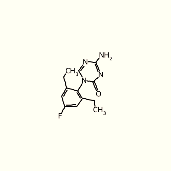 CCc1cc(F)cc(CC)c1-n1cnc(N)nc1=O